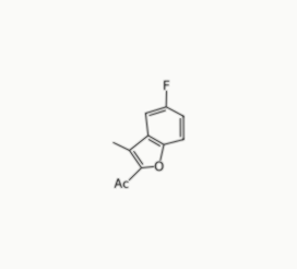 CC(=O)c1oc2ccc(F)cc2c1C